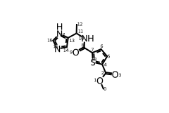 COC(=O)c1ccc(C(=O)NC(C)c2cnc[nH]2)s1